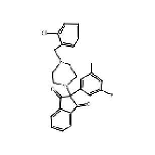 Cc1cc(F)cc(C2(N3CCN(Cc4ccccc4Cl)CC3)C(=O)c3ccccc3C2=O)c1